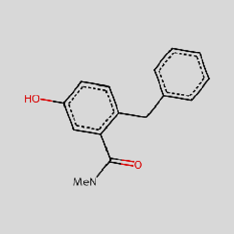 CNC(=O)c1cc(O)ccc1Cc1ccccc1